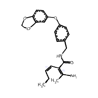 CC/C=C\C(C(=O)NCc1ccc(Oc2ccc3c(c2)OCO3)cc1)=C(/C)N